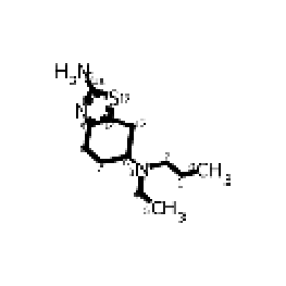 CCCN(CC)[C@H]1CCc2nc(N)sc2C1